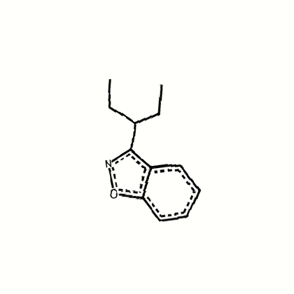 CCC(CC)c1noc2ccccc12